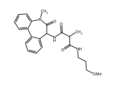 COCCCNC(=O)C(C)C(=O)NC1C(=O)N(C)c2ccccc2-c2ccccc21